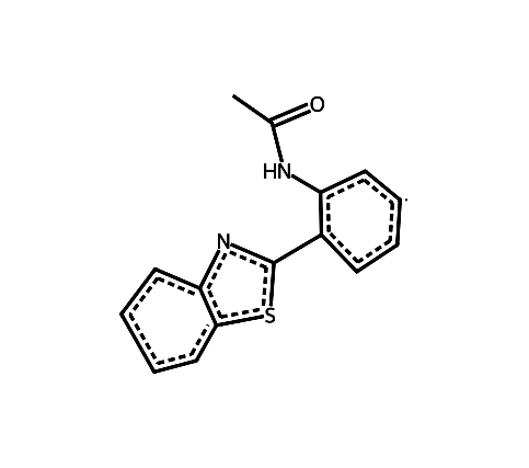 CC(=O)Nc1c[c]ccc1-c1nc2ccccc2s1